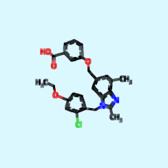 CCOc1ccc(Cn2c(C)nc3c(C)cc(COc4cccc(C(=O)O)c4)cc32)c(Cl)c1